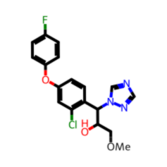 COCC(O)C(c1ccc(Oc2ccc(F)cc2)cc1Cl)n1cncn1